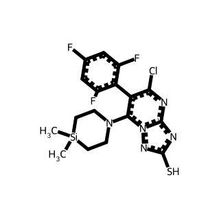 C[Si]1(C)CCN(c2c(-c3c(F)cc(F)cc3F)c(Cl)nc3nc(S)nn23)CC1